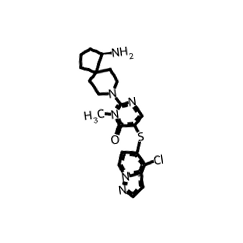 Cn1c(N2CCC3(CCC[C@H]3N)CC2)ncc(Sc2ccn3nccc3c2Cl)c1=O